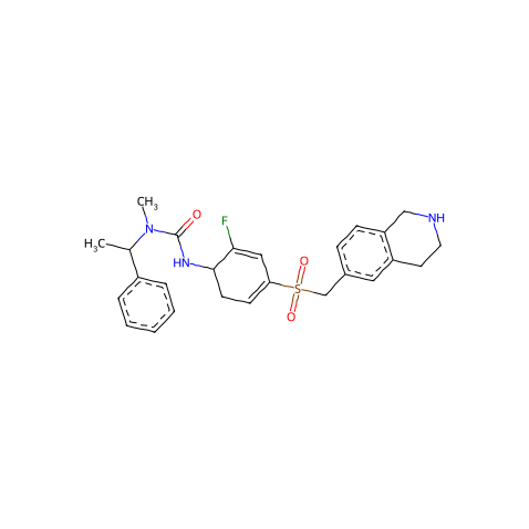 CC(c1ccccc1)N(C)C(=O)NC1CC=C(S(=O)(=O)Cc2ccc3c(c2)CCNC3)C=C1F